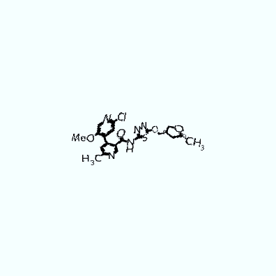 COc1cnc(Cl)cc1-c1cc(C)ncc1C(=O)Nc1nnc(OC[C@H]2CO[C@H](C)C2)s1